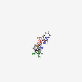 O=C(NC1CC2CCCC(C1)N2CC(O)COc1ccc(Cl)c(F)c1)c1nc2cc(Cl)c(F)cc2s1